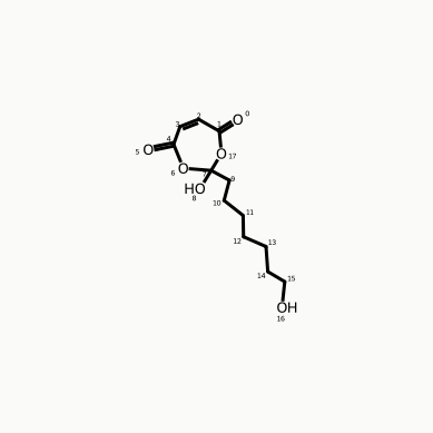 O=C1C=CC(=O)OC(O)(CCCCCCCO)O1